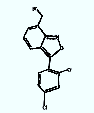 Clc1ccc(-c2onc3c(CBr)cccc23)c(Cl)c1